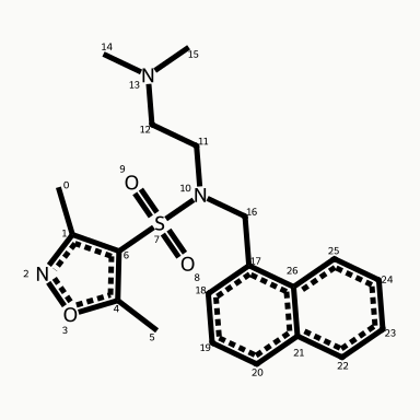 Cc1noc(C)c1S(=O)(=O)N(CCN(C)C)Cc1cccc2ccccc12